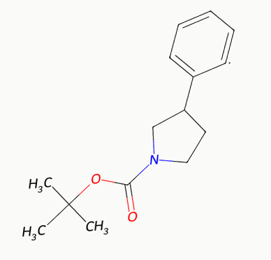 CC(C)(C)OC(=O)N1CCC(c2[c]cccc2)C1